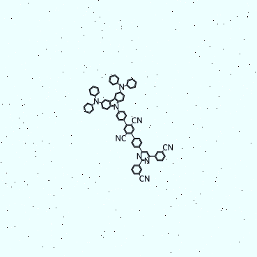 N#Cc1cccc(-c2cc(-c3ccc(-c4cc(C#N)c(-c5ccc(-n6c7ccc(N(c8ccccc8)c8ccccc8)cc7c7cc(N(c8ccccc8)c8ccccc8)ccc76)cc5)cc4C#N)cc3)nc(-c3cccc(C#N)c3)n2)c1